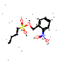 CCCCS(=O)(=O)OCc1ccccc1[N+](=O)[O-]